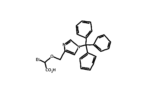 CCC(OCc1cn(C(c2ccccc2)(c2ccccc2)c2ccccc2)cn1)C(=O)O